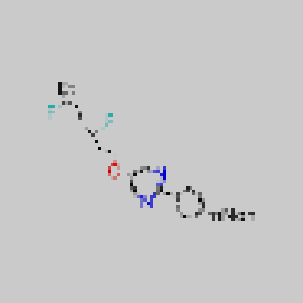 CCCCCCCCCc1ccc(-c2ncc(OCCC(F)CCC(F)CC)cn2)cc1